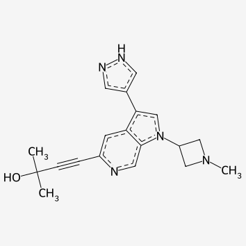 CN1CC(n2cc(-c3cn[nH]c3)c3cc(C#CC(C)(C)O)ncc32)C1